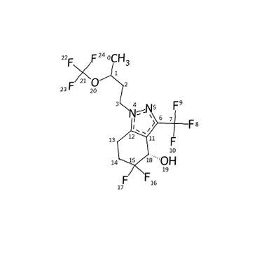 CC(CCn1nc(C(F)(F)F)c2c1CCC(F)(F)[C@H]2O)OC(F)(F)F